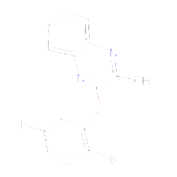 Cc1nc2ccccc2nc1Oc1cc(F)ccc1Br